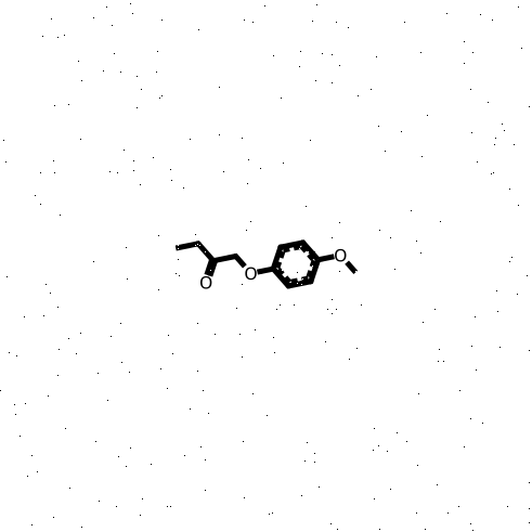 CCC(=O)COc1ccc(OC)cc1